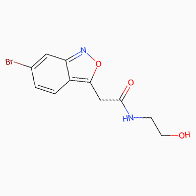 O=C(Cc1onc2cc(Br)ccc12)NCCO